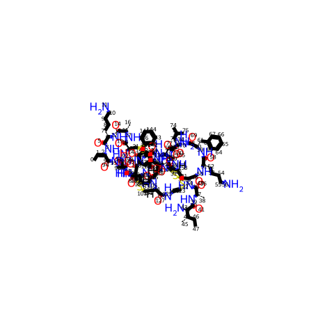 C/C=C(/NC(=O)[C@H](CCCCN)NC(=O)[C@H](C)NC(=O)[C@H]1CS[C@@H](C)[C@@H](NC(=O)[C@H]2CSC[C@@H](NC(=O)[C@H](C)NC(=O)[C@@H](N)[C@@H](C)CC)C(=O)N[C@@H](CCCCN)C(=O)N[C@@H](Cc3ccccc3)C(=O)N[C@@H](CC(C)C)C(=O)N2)C(=O)N2CCC[C@H]2C(=O)NCC(=O)N1)C(=O)NCC(=O)N[C@@H]1CSC[C@H]2NC(=O)[C@H](Cc3ccc(O)cc3)NC(=O)[C@@H](CS/C=C/NC2=O)NC(=O)[C@H](CC(N)=O)NC(=O)[C@H](Cc2ccccc2)NC1=O